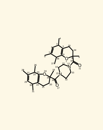 CC1=CC(C)C2=C(OC(C)(C(=O)N3CCN(C(=O)C4(C)CCC5=C(O4)C(C)C(C)=CC5C)CC3)CC2)C1C